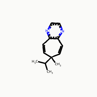 CC(C)C1(C)C=Cc2nccnc2C=C1